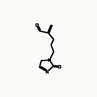 C=C(C=O)CCCN1CC=NC1=O